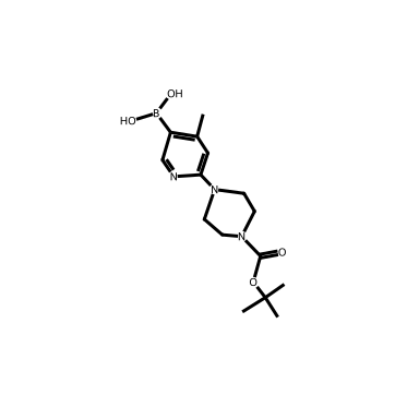 Cc1cc(N2CCN(C(=O)OC(C)(C)C)CC2)ncc1B(O)O